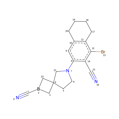 N#CB1CC2(CCN(c3cc4c(c(Br)c3C#N)CCCC4)C2)C1